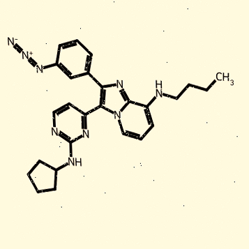 CCCCNc1cccn2c(-c3ccnc(NC4CCCC4)n3)c(-c3cccc(N=[N+]=[N-])c3)nc12